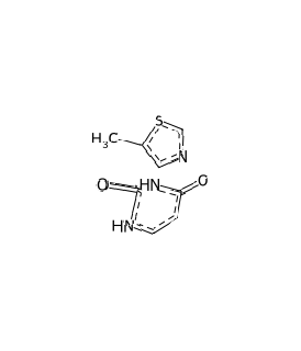 Cc1cncs1.O=c1cc[nH]c(=O)[nH]1